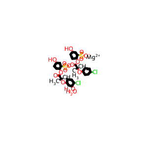 CC(C)(Oc1ccc(Cl)cc1)C(=O)Oc1ccc(O)cc1S(=O)(=O)[O-].CC(C)(Oc1ccc(Cl)cc1)C(=O)Oc1ccc(O)cc1S(=O)(=O)[O-].O.O.[Mg+2]